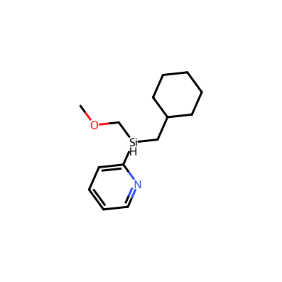 COC[SiH](CC1CCCCC1)c1ccccn1